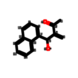 C=C(C(C)=O)C([O])c1cccc2ccccc12